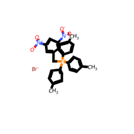 Cc1ccc([P+](Cc2cc([N+](=O)[O-])cc([N+](=O)[O-])c2)(c2ccc(C)cc2)c2ccc(C)cc2)cc1.[Br-]